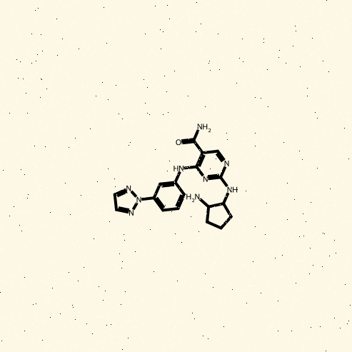 NC(=O)c1cnc(NC2CCCC2N)nc1Nc1cccc(-n2nccn2)c1